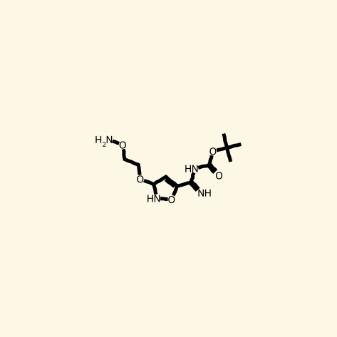 CC(C)(C)OC(=O)NC(=N)C1=CC(OCCON)NO1